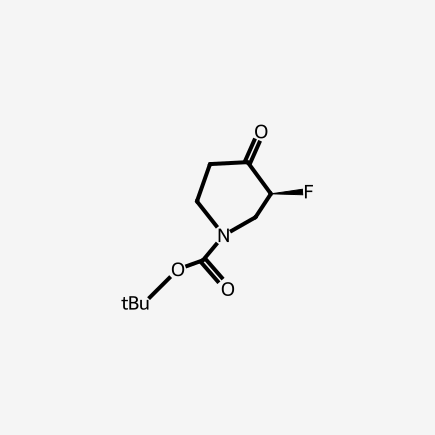 CC(C)(C)OC(=O)N1CCC(=O)[C@@H](F)C1